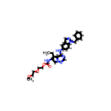 CCc1c(NC(=O)OCCOCCOC)cn2ncnc(Nc3ccc4c(cnn4Cc4ccccc4)c3)c12